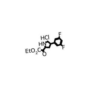 CCOC(=O)C(=O)C1CC(c2cc(F)cc(F)c2)CN1.Cl